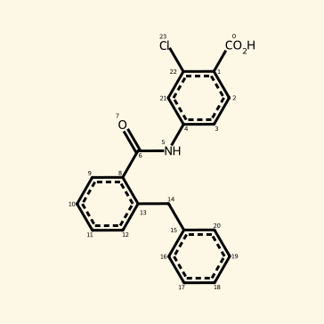 O=C(O)c1ccc(NC(=O)c2ccccc2Cc2ccccc2)cc1Cl